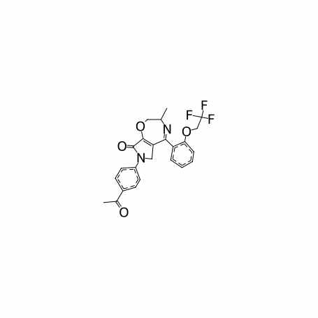 CC(=O)c1ccc(N2CC3=C(OCC(C)N=C3c3ccccc3OCC(F)(F)F)C2=O)cc1